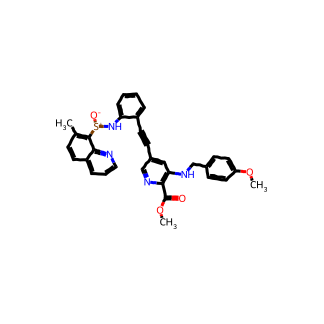 COC(=O)c1ncc(C#Cc2ccccc2N[S+]([O-])c2c(C)ccc3cccnc23)cc1NCc1ccc(OC)cc1